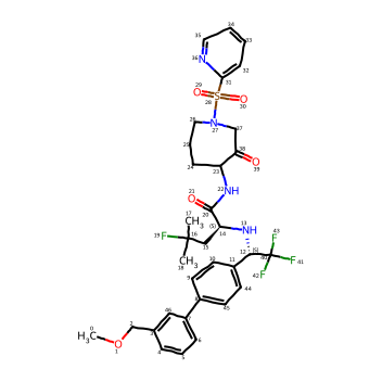 COCc1cccc(-c2ccc([C@H](N[C@@H](CC(C)(C)F)C(=O)NC3CCCN(S(=O)(=O)c4ccccn4)CC3=O)C(F)(F)F)cc2)c1